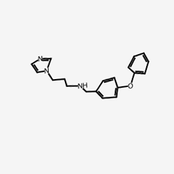 c1ccc(Oc2ccc(CNCCCn3ccnc3)cc2)cc1